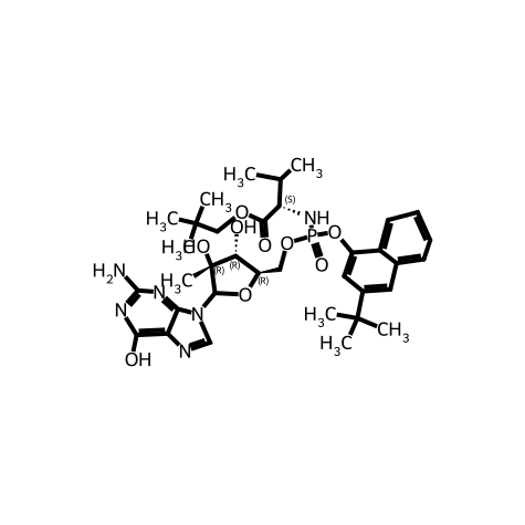 CC(C)[C@H](NP(=O)(OC[C@H]1OC(n2cnc3c(O)nc(N)nc32)[C@](C)(O)[C@@H]1O)Oc1cc(C(C)(C)C)cc2ccccc12)C(=O)OCC(C)(C)C